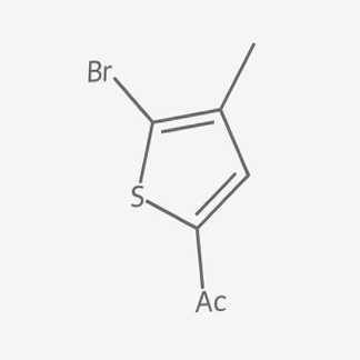 CC(=O)c1cc(C)c(Br)s1